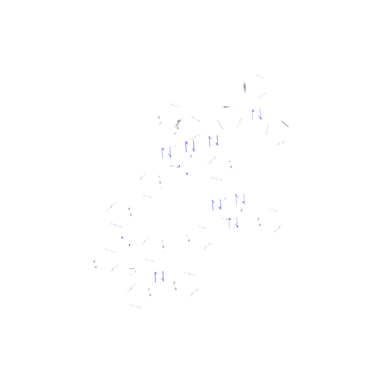 c1ccc(-c2nc(-c3ccccc3)nc(-c3ccc(-n4c5ccccc5c5cc6c7ccccc7n(-c7ccccc7)c6cc54)c(-c4nc(-c5ccccc5)nc(-c5ccc(-c6cccc(N7c8ccccc8B8c9ccccc9N(c9ccccc9)c9cccc7c98)c6)cc5)n4)c3)n2)cc1